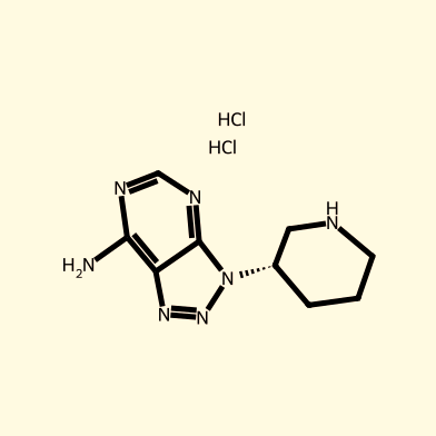 Cl.Cl.Nc1ncnc2c1nnn2[C@H]1CCCNC1